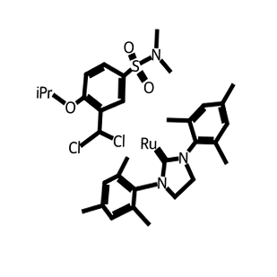 CC(C)Oc1ccc(S(=O)(=O)N(C)C)cc1C(Cl)Cl.Cc1cc(C)c(N2CCN(c3c(C)cc(C)cc3C)[C]2=[Ru])c(C)c1